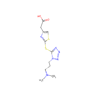 CN(C)CCCn1nnnc1Sc1nc(CC(=O)O)cs1